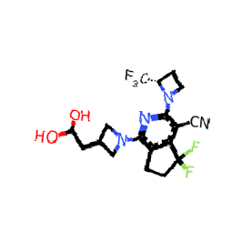 N#Cc1c(N2CC[C@H]2C(F)(F)F)nc(N2CC(CC(O)O)C2)c2c1C(F)(F)CC2